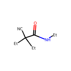 CCNC(=O)C(C#N)(CC)CC